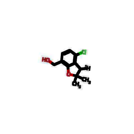 [2H]C1c2c(Cl)ccc(CO)c2OC1(C)C